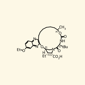 CCOc1ccc2nc3c(nc2c1)O[C@H]1CN(C(=O)[C@H](C(C)(C)C)NC(=O)O[C@H](C)CCCCCC3)[C@H](C(=O)O)[C@@H]1CC